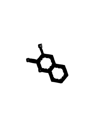 O=c1oc2ccccc2cc1Cl